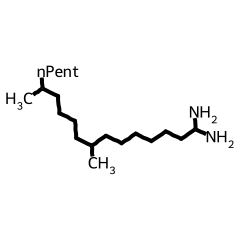 CCCCCC(C)CCCCC(C)CCCCCCC(N)N